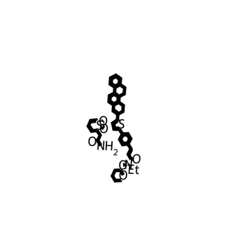 CCN(OC1CCCCO1)C(=O)C=Cc1ccc(-c2ccc(C3=Cc4ccc5c(c4CC3)CCc3ccccc3-5)s2)cc1.NC(=O)CC1C=CC=CS1(=O)=O